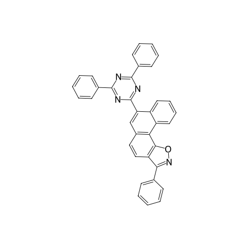 c1ccc(-c2nc(-c3ccccc3)nc(-c3cc4ccc5c(-c6ccccc6)noc5c4c4ccccc34)n2)cc1